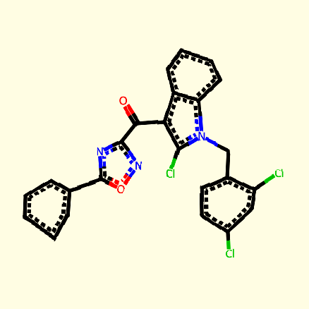 O=C(c1noc(-c2ccccc2)n1)c1c(Cl)n(Cc2ccc(Cl)cc2Cl)c2ccccc12